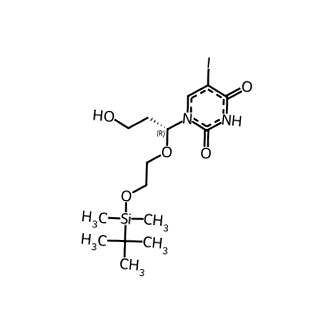 CC(C)(C)[Si](C)(C)OCCO[C@H](CCO)n1cc(I)c(=O)[nH]c1=O